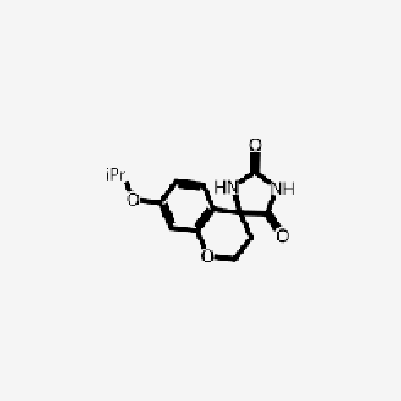 CC(C)Oc1ccc2c(c1)OCCC21NC(=O)NC1=O